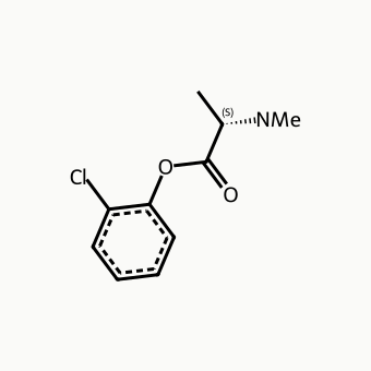 CN[C@@H](C)C(=O)Oc1ccccc1Cl